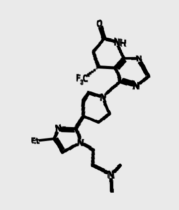 CCc1cn(CCN(C)C)c(C2CCN(c3ncnc4c3[C@H](C(F)(F)F)CC(=O)N4)CC2)n1